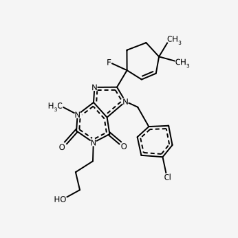 Cn1c(=O)n(CCCO)c(=O)c2c1nc(C1(F)C=CC(C)(C)CC1)n2Cc1ccc(Cl)cc1